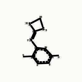 Cc1ccc(C)c(N=C2SCS2)c1